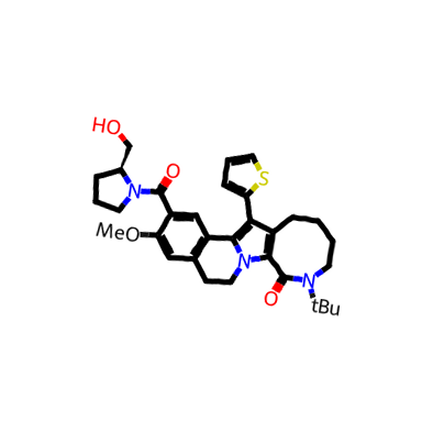 COc1cc2c(cc1C(=O)N1CCC[C@H]1CO)-c1c(-c3cccs3)c3c(n1CC2)C(=O)N(C(C)(C)C)CCCC3